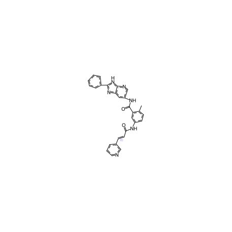 Cc1ccc(NC(=O)/C=C/c2cccnc2)cc1C(=O)Nc1cnc2[nH]c(-c3ccccc3)nc2c1